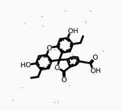 CCc1cc2c(cc1O)Oc1cc(O)c(CC)cc1C21OC(=O)c2cc(C(=O)O)ccc21